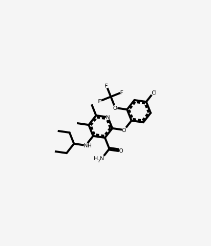 CCC(CC)Nc1c(C)c(C)nc(Oc2ccc(Cl)cc2OC(F)(F)F)c1C(N)=O